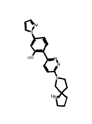 Oc1cc(-n2cccn2)ccc1-c1ccc(N2CCC3(CCCN3)C2)nn1